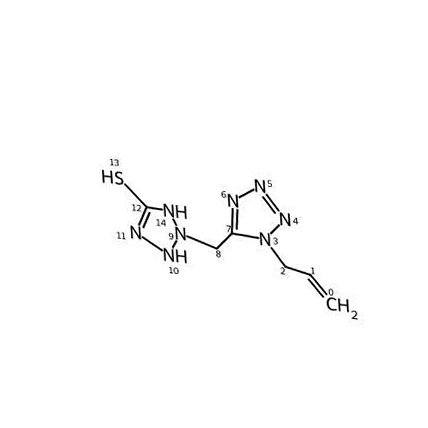 C=CCn1nnnc1CN1NN=C(S)N1